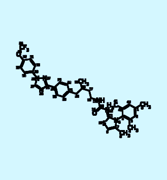 Cc1cc(C)c(-n2c(C)cs/c2=N\C(=O)NCCC(C)Cc2ccc(-c3ncn(-c4ccc(OC(F)(F)F)cc4)n3)cc2)c(C)c1